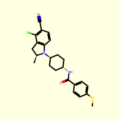 CSc1ccc(C(=O)N[C@H]2CC[C@H](N3c4ccc(C#N)c(Cl)c4C[C@@H]3C)CC2)cc1